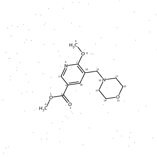 COC(=O)c1cnc(OC)c(CN2CCOCC2)c1